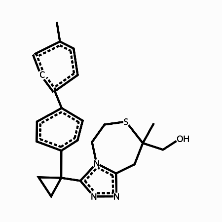 Cc1ccc(-c2ccc(C3(c4nnc5n4CCSC(C)(CO)C5)CC3)cc2)cc1